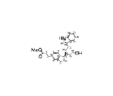 COC(=O)CCc1ccc2c(c1)CCC2N(CCO)CCc1c[nH]c2ccccc12